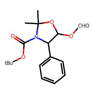 CC(C)(C)OC(=O)N1C(c2ccccc2)C(OC=O)OC1(C)C